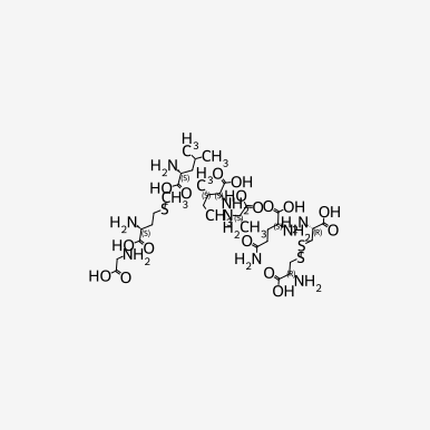 CC(C)C[C@H](N)C(=O)O.CC[C@H](C)[C@H](N)C(=O)O.CSCC[C@H](N)C(=O)O.C[C@H](N)C(=O)O.NC(=O)CC[C@H](N)C(=O)O.NCC(=O)O.N[C@@H](CSSC[C@H](N)C(=O)O)C(=O)O